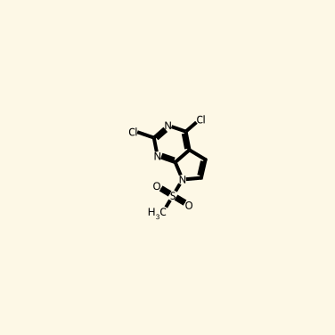 CS(=O)(=O)n1ccc2c(Cl)nc(Cl)nc21